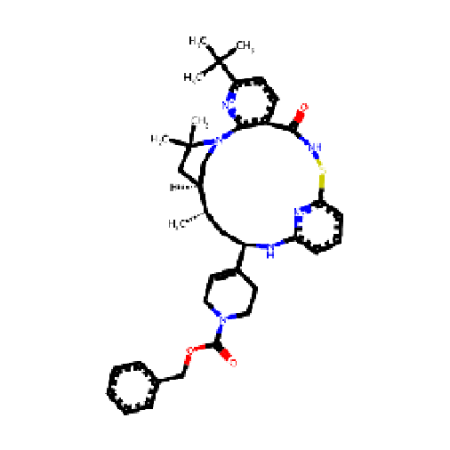 C[C@H]1CC(C2=CCN(C(=O)OCc3ccccc3)CC2)Nc2cccc(n2)SNC(=O)c2ccc(C(C)(C)C)nc2N2C[C@@H]1CC2(C)C